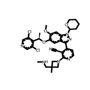 CNCC1(C)CN(c2nccc(-c3nn(C4CCCCO4)c4cc(OC)c(O[C@H](C)c5c(Cl)cncc5Cl)cc34)c2C#N)C1